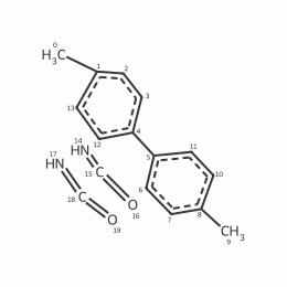 Cc1ccc(-c2ccc(C)cc2)cc1.N=C=O.N=C=O